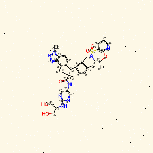 CC[C@@H]1CN(Cc2cc([C@@H](c3ccc4c(nnn4CC)c3C)C(C)(C)C(=O)Nc3cnc(NC(CO)CO)nc3)ccc2C)S(=O)(=O)c2cccnc2O1